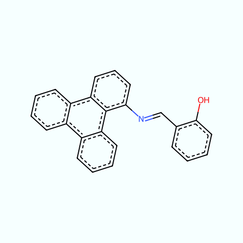 Oc1ccccc1C=Nc1cccc2c3ccccc3c3ccccc3c12